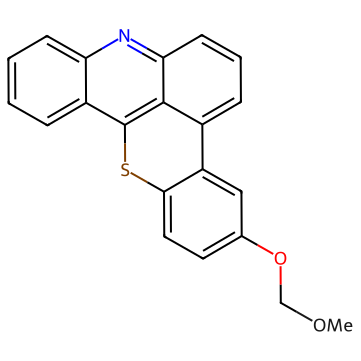 COCOc1ccc2c(c1)-c1cccc3nc4ccccc4c(c13)S2